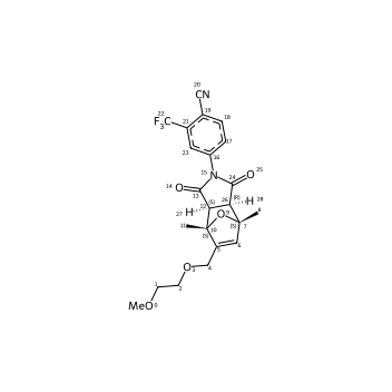 COCCOCC1=C[C@]2(C)O[C@@]1(C)[C@H]1C(=O)N(c3ccc(C#N)c(C(F)(F)F)c3)C(=O)[C@H]12